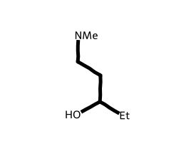 CCC(O)CCNC